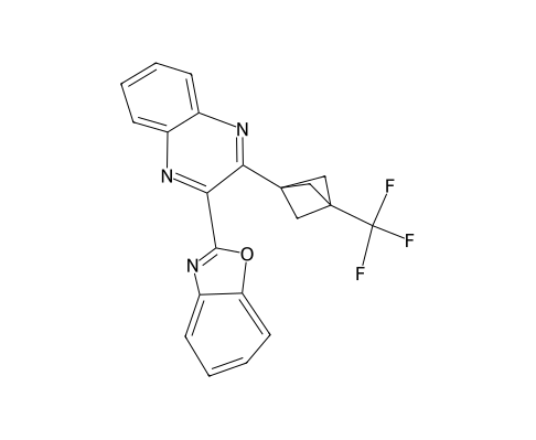 FC(F)(F)C12CC(c3nc4ccccc4nc3-c3nc4ccccc4o3)(C1)C2